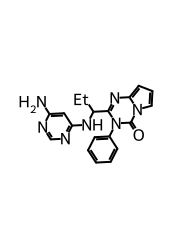 CCC(Nc1cc(N)ncn1)c1nc2cccn2c(=O)n1-c1ccccc1